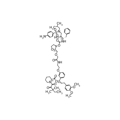 CCC(C)(C)C(=O)C(=O)N1CCCC[C@H]1C(=O)O[C@H](CCc1ccc(OC)c(OC)c1)c1cccc(OCCNC(=O)COC[C@H]2OCC[C@@H]2OC(=O)N[C@@H](Cc2ccccc2)[C@H](O)CN(CC(C)C)S(=O)(=O)c2ccc(N)cc2)c1